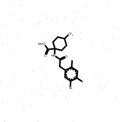 COC(=O)C1(NC(=O)Cc2cc(Br)c(F)cc2C)CCC(C(F)(F)F)CC1